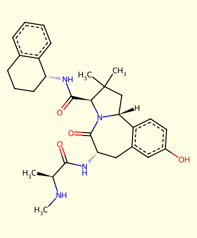 CN[C@@H](C)C(=O)N[C@H]1Cc2cc(O)ccc2[C@H]2CC(C)(C)[C@H](C(=O)N[C@@H]3CCCc4ccccc43)N2C1=O